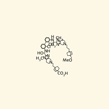 COCC12CCC(CCCN3CCc4c(nc(C(=O)Nc5cccc(-c6cccc(NC(O)c7nc8c(n7C)CCN(CCC79CCC(C(=O)O)(CC7)C9)C8)c6Cl)c5C)n4C)C3)(CC1)C2